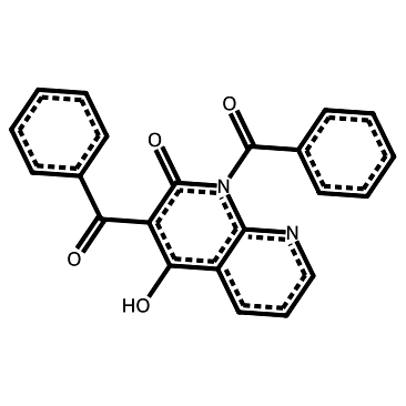 O=C(c1ccccc1)c1c(O)c2cccnc2n(C(=O)c2ccccc2)c1=O